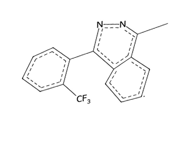 Cc1nnc(-c2ccccc2C(F)(F)F)c2cc[c]cc12